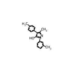 Cc1ccc(-c2c(C)nn(-c3cccc(C)c3)c2O)cc1